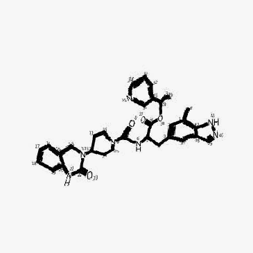 Cc1cc(CC(NC(=O)N2CCC(N3Cc4ccccc4NC3=O)CC2)C(=O)OC(C)c2cccnc2)cc2cn[nH]c12